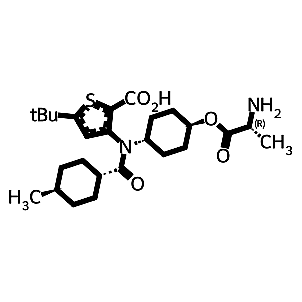 C[C@@H](N)C(=O)O[C@H]1CC[C@H](N(c2cc(C(C)(C)C)sc2C(=O)O)C(=O)[C@H]2CC[C@H](C)CC2)CC1